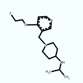 CC(C)NC1CCN(Cc2cnccc2OCCF)CC1